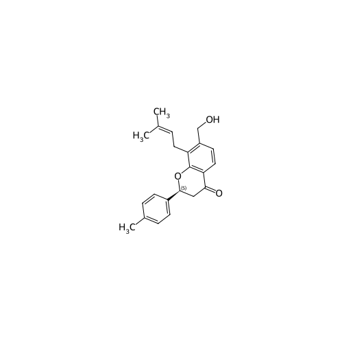 CC(C)=CCc1c(CO)ccc2c1O[C@H](c1ccc(C)cc1)CC2=O